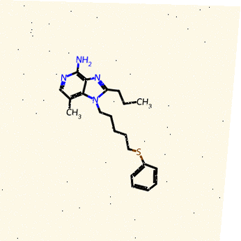 CCCc1nc2c(N)ncc(C)c2n1CCCCCSc1ccccc1